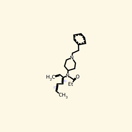 C=C/C(=C\C=C/C)N(C(=O)CC)C1CCN(CCc2ccccc2)CC1